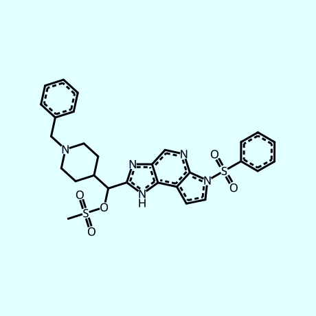 CS(=O)(=O)OC(c1nc2cnc3c(ccn3S(=O)(=O)c3ccccc3)c2[nH]1)C1CCN(Cc2ccccc2)CC1